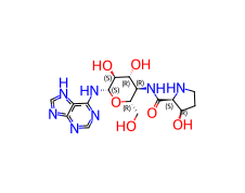 O=C(N[C@@H]1[C@@H](O)[C@H](O)[C@@H](Nc2ncnc3nc[nH]c23)O[C@H]1CO)[C@H]1NCC[C@H]1O